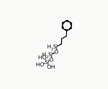 O[Si](O)(O)O[SiH2]O[SiH2]CCCc1ccccc1